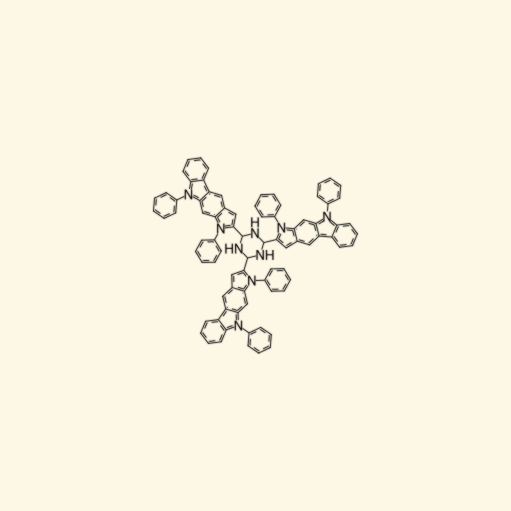 c1ccc(-n2c(C3NC(c4cc5cc6c7ccccc7n(-c7ccccc7)c6cc5n4-c4ccccc4)NC(c4cc5cc6c7ccccc7n(-c7ccccc7)c6cc5n4-c4ccccc4)N3)cc3cc4c5ccccc5n(-c5ccccc5)c4cc32)cc1